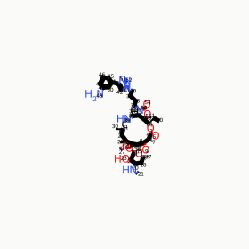 CC[C@H]1OC(=O)[C@H](C)C(=O)[C@H](C)[C@@H](O[C@@H]2O[C@H](C)CC(NC)C2O)[C@](C)(OC)C[C@@H](C)CN[C@H](C)[C@H]2N(CCCCn3cc(-c4cccc(N)c4)nn3)C(=O)O[C@]12C